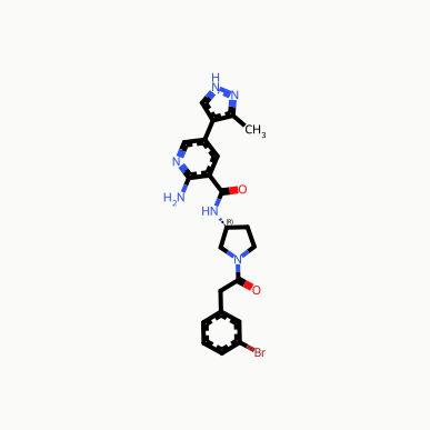 Cc1n[nH]cc1-c1cnc(N)c(C(=O)N[C@@H]2CCN(C(=O)Cc3cccc(Br)c3)C2)c1